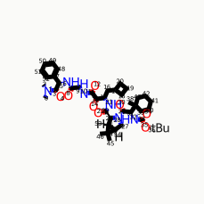 CN(C)C(=O)[C@@H](NC(=O)CNC(=O)C(=O)C(CC1CCC1)NC(=O)[C@@H]1[C@@H]2[C@H](CN1C(=O)[C@@H](NC(=O)OC(C)(C)C)C1(C)CCCCC1)C2(C)C)c1ccccc1